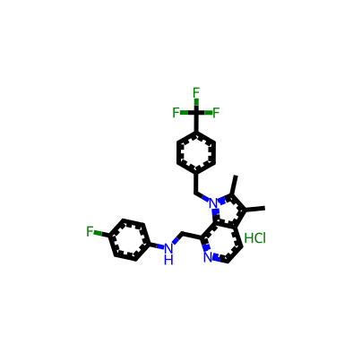 Cc1c(C)n(Cc2ccc(C(F)(F)F)cc2)c2c(CNc3ccc(F)cc3)nccc12.Cl